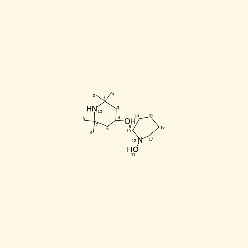 CC1(C)CC(O)CC(C)(C)N1.ON1CCCCC1